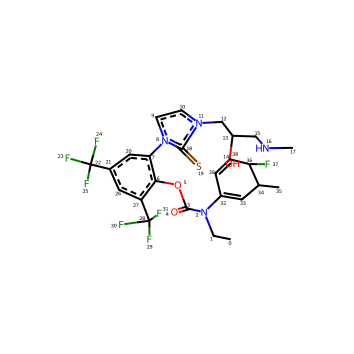 CCN(C(=O)Oc1c(-n2ccn(CC(O)CNC)c2=S)cc(C(F)(F)F)cc1C(F)(F)F)C1=CC(C)C(F)C=C1